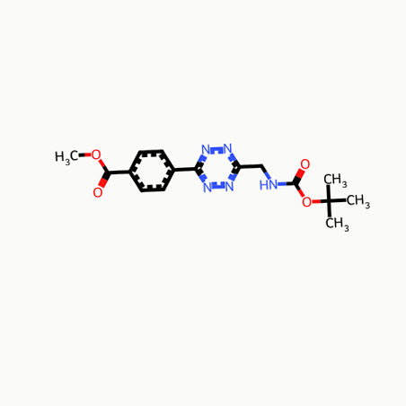 COC(=O)c1ccc(-c2nnc(CNC(=O)OC(C)(C)C)nn2)cc1